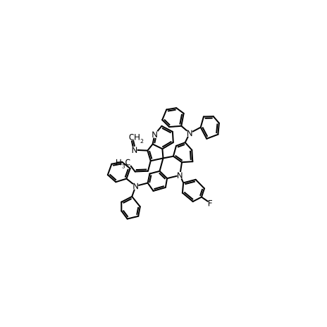 C=NC1=C(/C=C\C)C2(c3cc(N(c4ccccc4)c4ccccc4)ccc3N(c3ccc(F)cc3)c3ccc(N(c4ccccc4)c4ccccc4)cc32)c2cccnc21